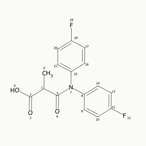 CC(C(=O)O)C(=O)N(c1ccc(F)cc1)c1ccc(F)cc1